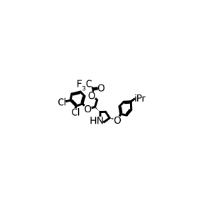 CC(C)c1ccc(O[C@@H]2CN[C@H](C(COC(=O)C(F)(F)F)Oc3cccc(Cl)c3Cl)C2)cc1